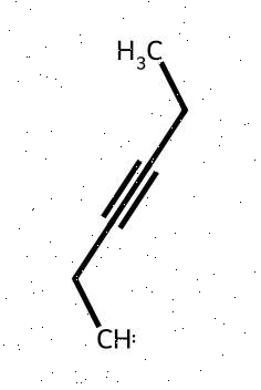 [CH]CC#CCC